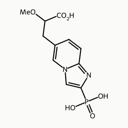 COC(Cc1ccc2nc(P(=O)(O)O)cn2c1)C(=O)O